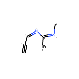 C#C/C=N\C(=N/C)C(C)C